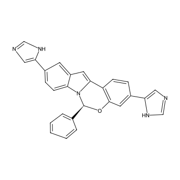 c1ccc([C@@H]2Oc3cc(-c4cnc[nH]4)ccc3-c3cc4cc(-c5cnc[nH]5)ccc4n32)cc1